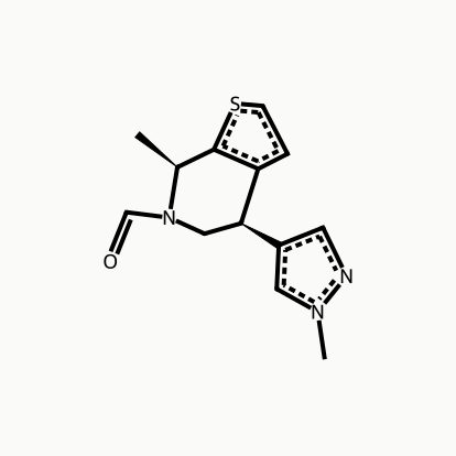 C[C@H]1c2sccc2[C@@H](c2cnn(C)c2)CN1C=O